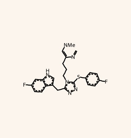 C=N/C(=C\NC)CCCn1c(Cc2c[nH]c3cc(F)ccc23)nnc1Sc1ccc(F)cc1